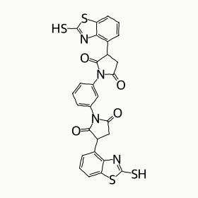 O=C1CC(c2cccc3sc(S)nc23)C(=O)N1c1cccc(N2C(=O)CC(c3cccc4sc(S)nc34)C2=O)c1